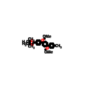 COCOC1(c2ccc(C)cc2)CCC(OCOC)(c2ccc(B3OC(C)(C)C(C)(C)O3)cc2)CC1